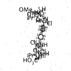 COC(=O)N[C@H](C(=O)N1[C@@H]2C[C@H]2C[C@H]1c1nc(Cl)c(C23CCC(c4ccc(-c5[nH]c([C@@H]6C[C@H]7C[C@H]7N6C(=O)[C@H](C(C)C)N(C)C(=O)O)nc5Cl)cc4)(CC2)CC3)[nH]1)C(C)C